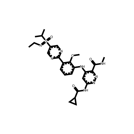 CCN=S(=O)(c1cnc(-c2cccc(Nc3cc(NC(=O)C4CC4)nnc3C(=O)NC)c2OC)nc1)C(C)C